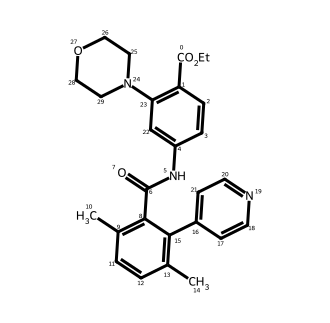 CCOC(=O)c1ccc(NC(=O)c2c(C)ccc(C)c2-c2ccncc2)cc1N1CCOCC1